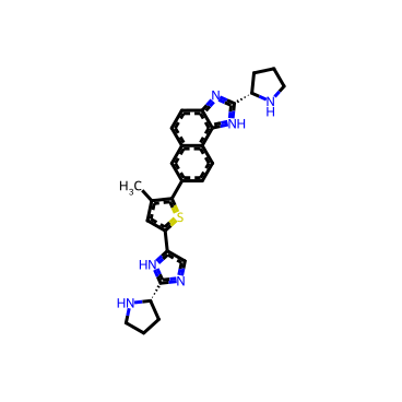 Cc1cc(-c2cnc([C@@H]3CCCN3)[nH]2)sc1-c1ccc2c(ccc3nc([C@@H]4CCCN4)[nH]c32)c1